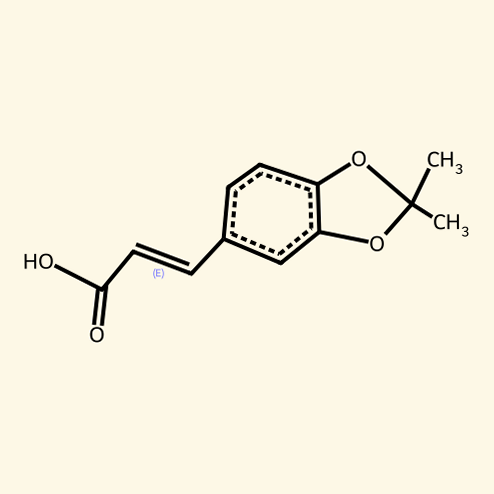 CC1(C)Oc2ccc(/C=C/C(=O)O)cc2O1